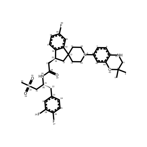 CC1(C)CNc2ccc(N3CCC4(CC3)C[C@@H](CC(=O)N[C@H](Cc3ccc(F)c(F)c3)CS(C)(=O)=O)c3ccc(F)cc34)cc2O1